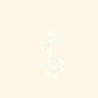 CCCCn1c(C=Cc2cnn(Cc3ccccc3C(F)(F)F)c2)c([N+](=O)[O-])c(=O)n(CC(C)C)c1=O